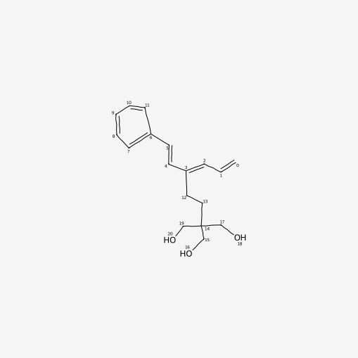 C=CC=C(C=Cc1ccccc1)CCC(CO)(CO)CO